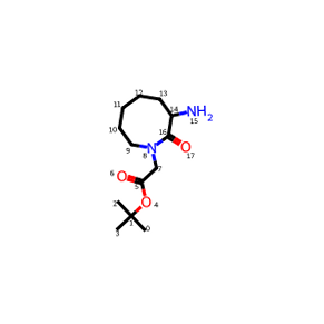 CC(C)(C)OC(=O)CN1CCCCCC(N)C1=O